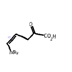 CCCC/C=C\CC(=O)C(=O)O